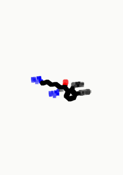 COc1c([C]=O)cccc1C(=O)[C@H](N)CCCCN